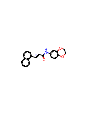 O=C(/C=C/c1cccc2ccccc12)Nc1ccc2c(c1)OCCO2